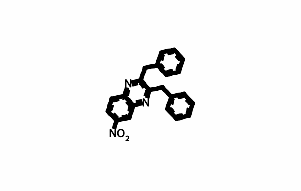 O=[N+]([O-])c1ccc2nc(Cc3ccccc3)c(Cc3ccccc3)nc2c1